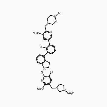 COc1nc(O[C@H]2CCc3c(-c4cccc(-c5cnc(CN6CCN(C(C)=O)CC6)c(OC)n5)c4Cl)cccc32)c(Cl)cc1CN1CC[C@@H](C(=O)O)C1